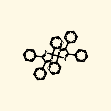 c1ccc(C2=NC(c3cccnc3)(C3(c4cccnc4)N=C(c4ccccc4)C(c4ccccc4)=N3)N=C2c2ccccc2)cc1